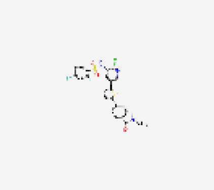 CN1Cc2cc(-c3ccc(-c4cnc(Cl)c(NS(=O)(=O)c5ccc(F)cc5F)c4)s3)ccc2C1=O